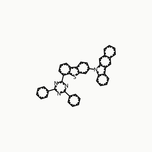 c1ccc(-c2nc(-c3ccccc3)nc(-c3cccc4c3sc3cc(-n5c6ccccc6c6cc7ccccc7cc65)ccc34)n2)cc1